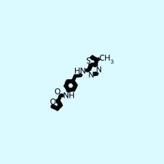 Cc1csc2c(NCCc3ccc(NC(=O)c4ccco4)cc3)ncnc12